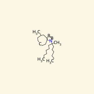 CCCCCCC(C)(CCCCCC)n1bbc2c1CCCCCC(C)C2